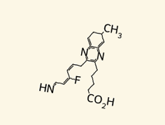 CC1C=c2nc(CCCCC(=O)O)c(C/C=C\C(F)=C/C=N)nc2=CC1